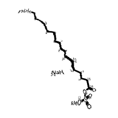 CCCCCCCCCCCCCCCCCCCCCCCCCC(=O)OS(=O)(=O)OC.[NaH]